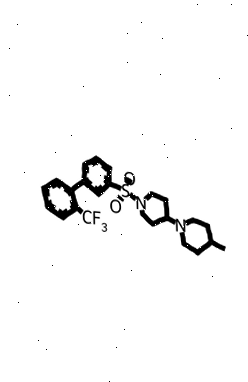 CC1CCN(C2CCN(S(=O)(=O)c3cccc(-c4ccccc4C(F)(F)F)c3)CC2)CC1